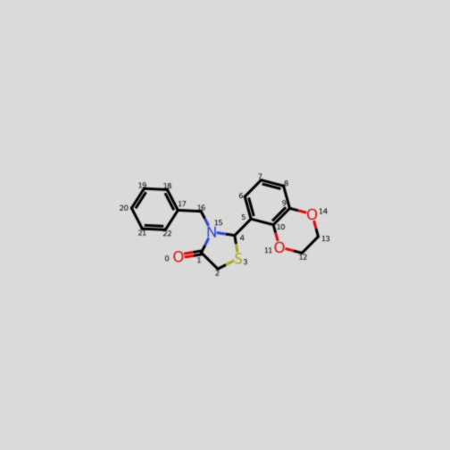 O=C1CSC(c2cccc3c2OCCO3)N1Cc1ccccc1